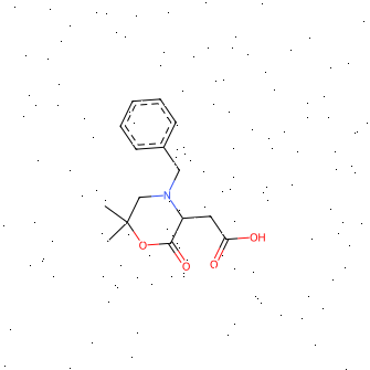 CC1(C)CN(Cc2ccccc2)C(CC(=O)O)C(=O)O1